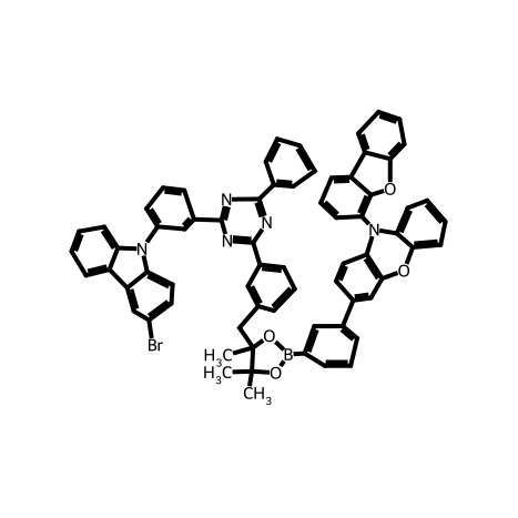 CC1(C)OB(c2cccc(-c3ccc4c(c3)Oc3ccccc3N4c3cccc4c3oc3ccccc34)c2)OC1(C)Cc1cccc(-c2nc(-c3ccccc3)nc(-c3cccc(-n4c5ccccc5c5cc(Br)ccc54)c3)n2)c1